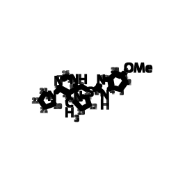 COc1ccc2[nH]c(SCC3(N4CCCC4)NC=NC(N4CCCC4)=C3C)nc2c1